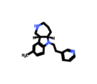 Cc1ccc2c(c1)[C@@H]1CNCCC[C@@H]1N2CCc1cccnc1